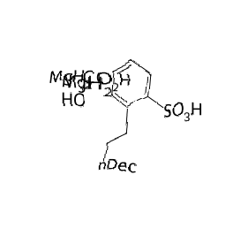 CCCCCCCCCCCCc1ccccc1S(=O)(=O)O.O=C(O)O.[MgH2].[MgH2]